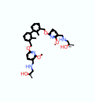 COc1nc(OCc2cccc(-c3cccc(COc4ccc(CNC[C@@H](C)O)c(OC)n4)c3C)c2C)ccc1CNC[C@@H](C)O